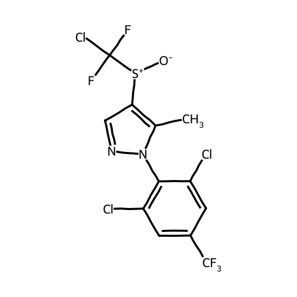 Cc1c([S+]([O-])C(F)(F)Cl)cnn1-c1c(Cl)cc(C(F)(F)F)cc1Cl